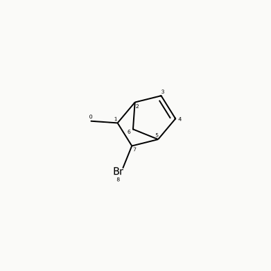 CC1C2C=CC(C2)C1Br